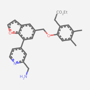 CCOC(=O)Cc1cc(C)c(C)cc1OCc1cc(-c2ccnc(CN)c2)c2occc2c1